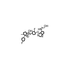 Cc1ccc(C(O)Nc2ccc(Oc3ncnn4ccc(N[C@H](C)CO)c34)c(F)c2)[n+]([O-])c1-c1ccc(F)cc1